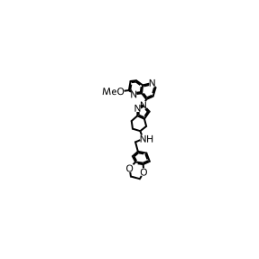 COc1ccc2nccc(-n3cc4c(n3)CCC(NCc3ccc5c(c3)OCCO5)C4)c2n1